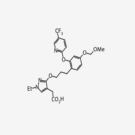 CCn1cc(CC(=O)O)c(OCCCc2ccc(OCOC)cc2Oc2ccc(C(F)(F)F)cn2)n1